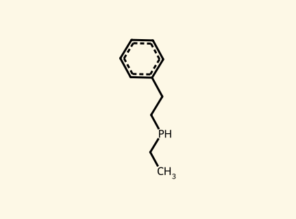 CCPCCc1ccccc1